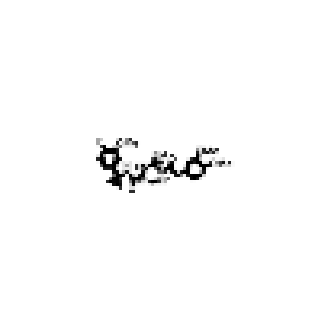 COc1cc(C2(NC(=O)[C@@H](CC(C)C)NC(=N)NC(=O)Cc3ccc(OC)c(OC)c3)CC2)ccc1F